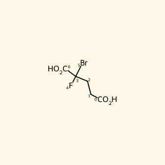 O=C(O)CCC(F)(Br)C(=O)O